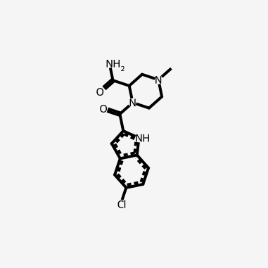 CN1CCN(C(=O)c2cc3cc(Cl)ccc3[nH]2)C(C(N)=O)C1